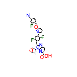 CC1(C)COCC1n1c(Cc2cc(F)c(-c3cccc(OCc4ccc(C#N)cc4F)n3)cc2F)nc2ccc(C(=O)O)nc21